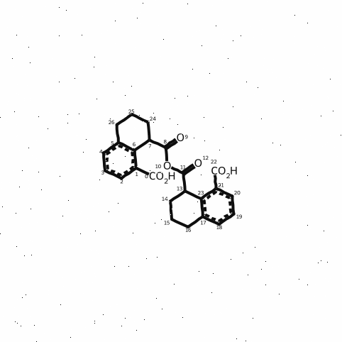 O=C(O)c1cccc2c1C(C(=O)OC(=O)C1CCCc3cccc(C(=O)O)c31)CCC2